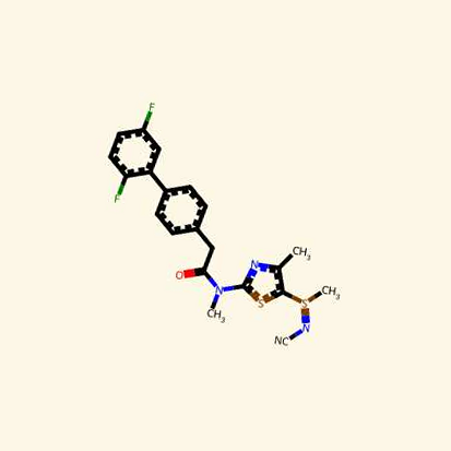 Cc1nc(N(C)C(=O)Cc2ccc(-c3cc(F)ccc3F)cc2)sc1/S(C)=N\C#N